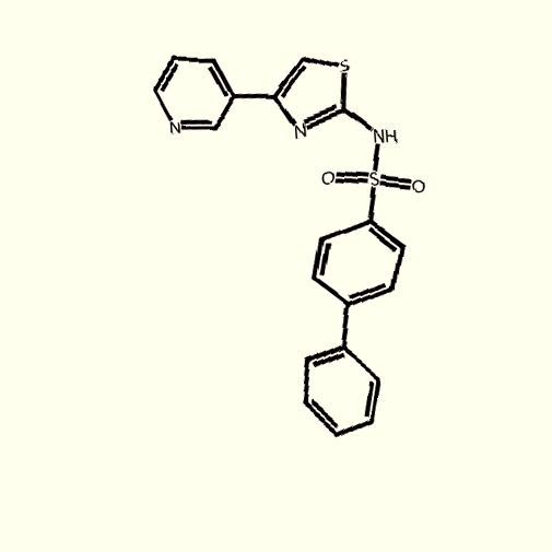 O=S(=O)(Nc1nc(-c2cccnc2)cs1)c1ccc(-c2ccccc2)cc1